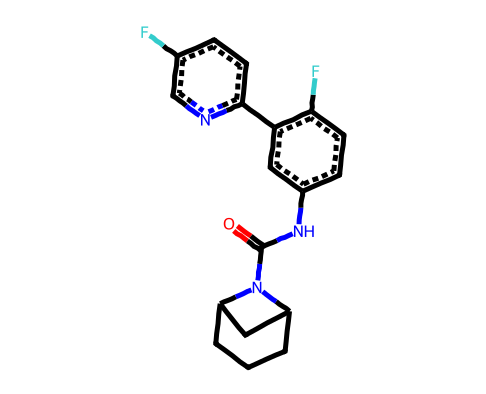 O=C(Nc1ccc(F)c(-c2ccc(F)cn2)c1)N1C2CCCC1C2